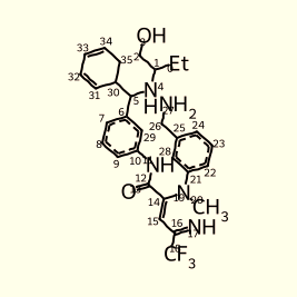 CCC(CO)NC(c1cccc(NC(=O)/C(=C/C(=N)C(F)(F)F)N(C)c2cccc(CN)c2)c1)C1C=CC=CC1